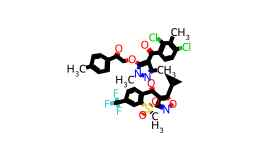 CS(=O)(=O)c1cc(C(F)(F)F)ccc1C(=O)c1cnoc1C1CC1.Cc1ccc(C(=O)COc2c(C(=O)c3ccc(Cl)c(C)c3Cl)c(C)nn2C)cc1